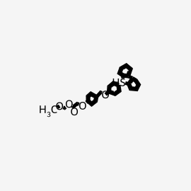 COCOC(=O)COc1ccc(COc2ccc([SH]3c4ccccc4-c4ccccc43)cc2)cc1